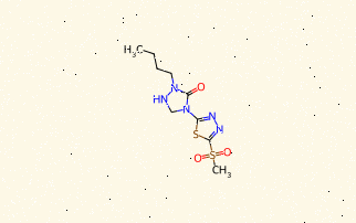 CCCCN1NCN(c2nnc(S(C)(=O)=O)s2)C1=O